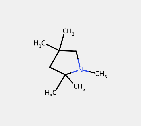 CN1CC(C)(C)CC1(C)C